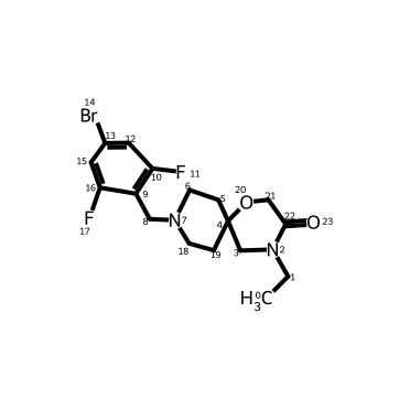 CCN1CC2(CCN(Cc3c(F)cc(Br)cc3F)CC2)OCC1=O